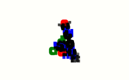 CCN1CCN(c2ccc(-c3cnc(N4C[C@@H](C)O[C@@H](C)C4)cc3F)c(Cl)c2Nc2ncnc(Cl)c2O)C[C@@H]1C